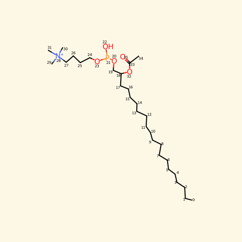 CCCCCCCCCCCCCCCCCCC(COP(O)OCCCC[N+](C)(C)C)OC(C)=O